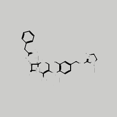 O=C(Cc1ccccc1)N[C@@H]1C(=O)N2C(C(=O)O)=C(Sc3ccc(CSC4=NCCN4)cc3I)CS[C@@H]12